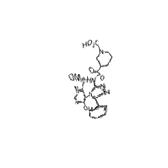 COc1ncnc(OC)c1-n1c(NS(=O)(=O)C2CCCN(C(=O)O)C2)nnc1-c1ccccc1